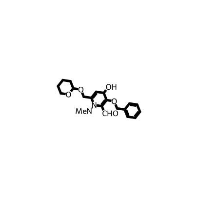 CNN1C(COC2CCCCO2)=CC(O)C(OCc2ccccc2)=C1C=O